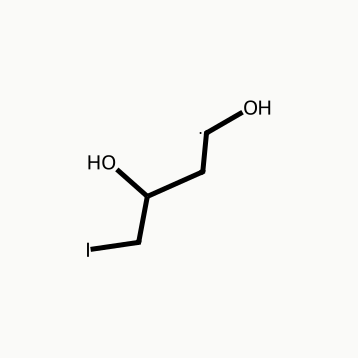 O[CH]CC(O)CI